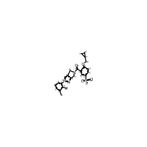 Cc1cccc(-n2cc3c(n2)CN(C(=O)c2cc(S(C)(=O)=O)ccc2OCC2CC2)C3)c1F